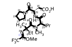 CC[C@](C)(/N=C(\OC)C(F)(F)F)C(=O)N(C)C(C(=O)N[C@@H](CC(=O)O)C(=O)N1CCCC1)C(C)C